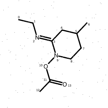 CCN=C1CC(C)CCN1OC(C)=O